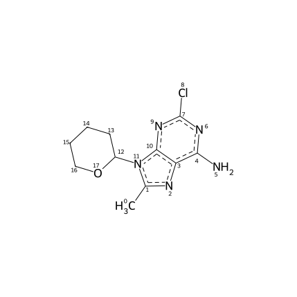 Cc1nc2c(N)nc(Cl)nc2n1C1CCCCO1